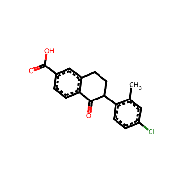 Cc1cc(Cl)ccc1C1CCc2cc(C(=O)O)ccc2C1=O